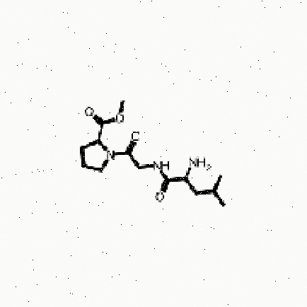 COC(=O)[C@@H]1CCCN1C(=O)CNC(=O)[C@@H](N)CC(C)C